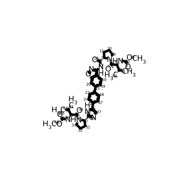 COC(=O)N[C@H](C(=O)N1CCC[C@H]1C(=O)Nc1noc2cc(-c3ccc(-c4cnc([C@@H]5CCCN5C(=O)[C@@H](NC(=O)OC)C(C)C)[nH]4)cc3)ccc12)C(C)C